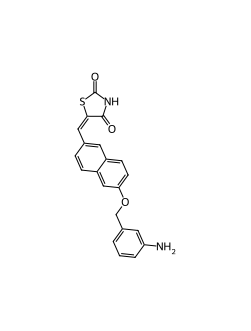 Nc1cccc(COc2ccc3cc(C=C4SC(=O)NC4=O)ccc3c2)c1